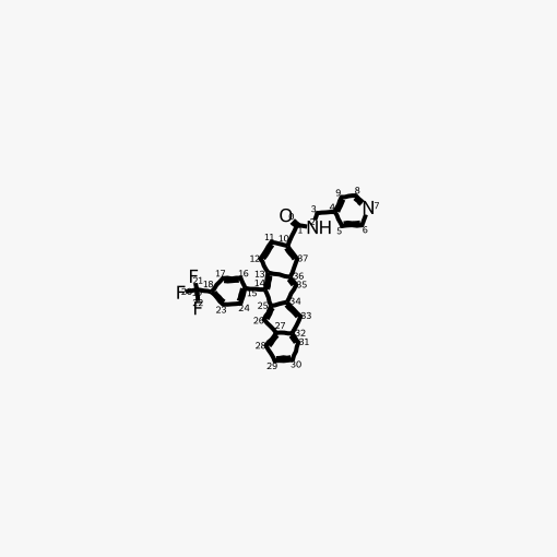 O=C(NCc1ccncc1)c1ccc2c(-c3ccc(C(F)(F)F)cc3)c3cc4ccccc4cc3cc2c1